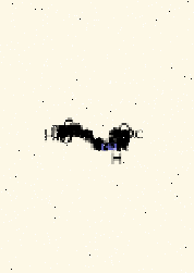 C=N/C(=C\C=C(/C)N1CCN(CCC2CCN(c3ccc4c(c3)CN(C3CCC(=O)NC3=O)C4=O)CC2)CC1)Nc1ncc2c(C)c(C(C)=O)c(=O)n(C3CCCC3)c2n1